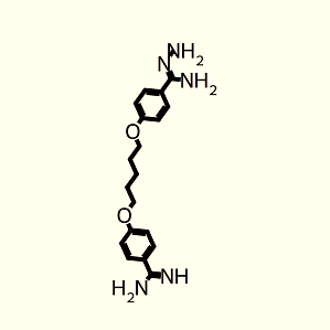 N=C(N)c1ccc(OCCCCCOc2ccc(C(N)=NN)cc2)cc1